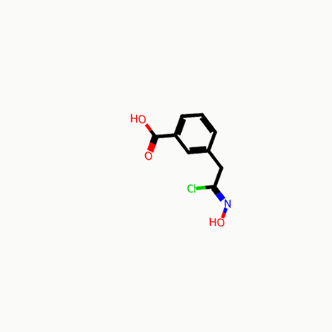 O=C(O)c1cccc(CC(Cl)=NO)c1